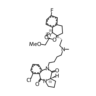 COCC(=O)O[C@]1(CCN(C)CCCCN2C(=O)[C@@H]3CCCN3C(=O)c3c(Cl)cccc32)CCc2cc(F)ccc2[C@@H]1C(C)C